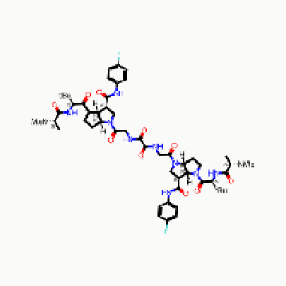 CN[C@@H](C)C(=O)N[C@H](C(=O)C1CC[C@@H]2[C@H]1[C@@H](C(=O)Nc1ccc(F)cc1)CN2C(=O)CNC(=O)C(=O)NCC(=O)N1C[C@H](C(=O)Nc2ccc(F)cc2)[C@@H]2[C@H]1CCN2C(=O)[C@@H](NC(=O)[C@H](C)NC)C(C)(C)C)C(C)(C)C